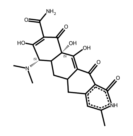 Cc1cc2c(c(=O)[nH]1)C(=O)C1=C(O)[C@]3(O)C(=O)C(C(N)=O)=C(O)[C@@H](N(C)C)C3CC1C2